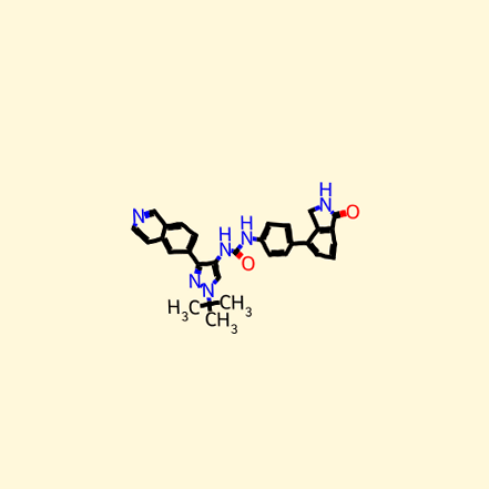 CC(C)(C)n1cc(NC(=O)Nc2ccc(-c3cccc4c3CNC4=O)cc2)c(-c2ccc3cnccc3c2)n1